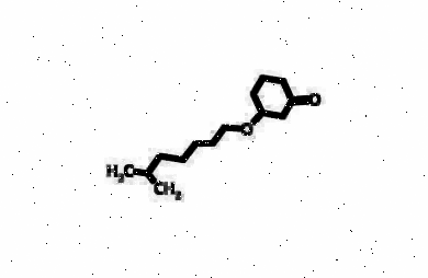 CC(C)CCCCCOC1CCCC(=O)C1